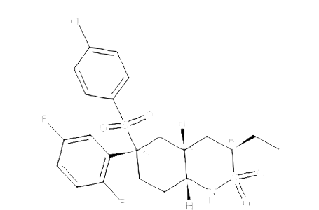 CC[C@@H]1C[C@H]2C[C@@](c3cc(F)ccc3F)(S(=O)(=O)c3ccc(Cl)cc3)CC[C@H]2NS1(=O)=O